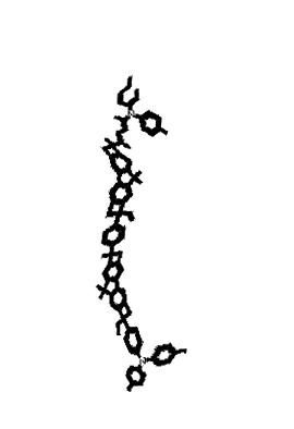 C/C=C(\C=C/CC)N(/C(C)=C/C=C(\C)C1(C)Cc2cc3c(cc21)C(C)(C)c1cc2c(cc1-3)CC2(CC)c1ccc(C2(C)Cc3cc4c(cc32)C(C)(C)c2cc3c(cc2-4)CC3(CC)c2ccc(N(c3ccc(C)cc3)c3ccc(C)cc3)cc2)cc1)c1ccc(C)cc1